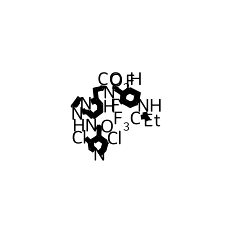 CCC(Nc1cc(F)c(C(=O)NC(Cc2ccc(NC(=O)c3c(Cl)cncc3Cl)c3nccn23)C(=O)O)c(F)c1)C(F)(F)F